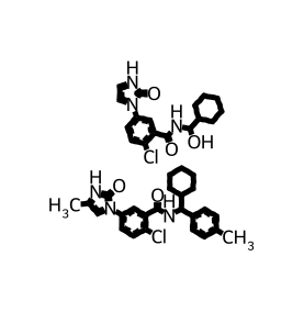 Cc1ccc(C(NC(=O)c2cc(-n3cc(C)[nH]c3=O)ccc2Cl)C2CCCCC2)cc1.O=C(NC(O)C1CCCCC1)c1cc(-n2cc[nH]c2=O)ccc1Cl